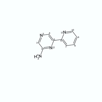 Nc1cncc(-c2ccccn2)n1